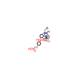 COC12CCC3(C[C@@H]1COCc1ccc(OCC(=O)O)cc1)[C@H]1Cc4ccc(O)c5c4[C@@]3(CCN1CC1CC1)[C@H]2O5